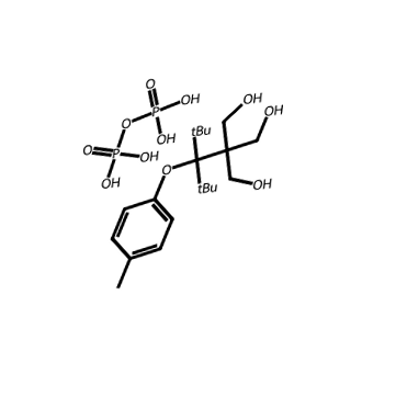 Cc1ccc(OC(C(C)(C)C)(C(C)(C)C)C(CO)(CO)CO)cc1.O=P(O)(O)OP(=O)(O)O